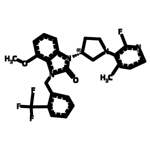 COc1cccc2c1n(Cc1ccccc1C(F)(F)F)c(=O)n2[C@@H]1CCN(c2c(C)ccnc2F)C1